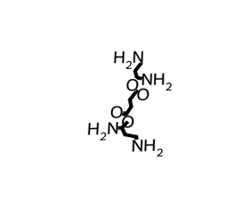 NCCC(N)OC(=O)CCC(=O)OC(N)CCN